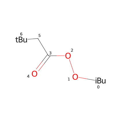 CCC(C)OOC(=O)CC(C)(C)C